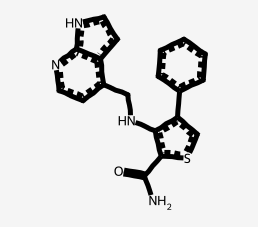 NC(=O)c1scc(-c2ccccc2)c1NCc1ccnc2[nH]ccc12